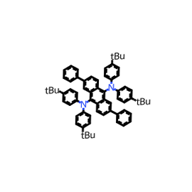 CC(C)(C)c1ccc(N(c2ccc(C(C)(C)C)cc2)c2c3ccc(-c4ccccc4)cc3c(N(c3ccc(C(C)(C)C)cc3)c3ccc(C(C)(C)C)cc3)c3ccc(-c4ccccc4)cc23)cc1